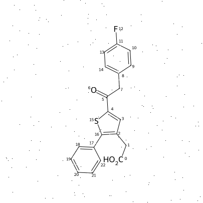 O=C(O)Cc1cc(C(=O)Cc2ccc(F)cc2)sc1-c1ccccc1